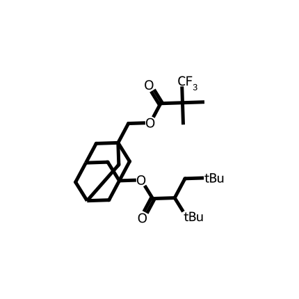 CC(C)(C)CC(C(=O)OC12CC3CC(CC(COC(=O)C(C)(C)C(F)(F)F)(C3)C1)C2)C(C)(C)C